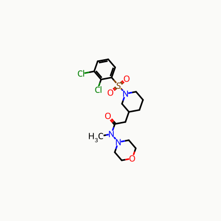 CN(C(=O)CC1CCCN(S(=O)(=O)c2cccc(Cl)c2Cl)C1)N1CCOCC1